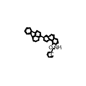 c1ccc(C2Nc3ccc4ccc5cc(-c6ccc7c8c(cccc68)-c6ccccc6-7)ccc5c4c3O2)cc1